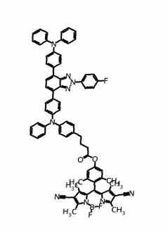 CC1=N/C(=C(/c2c(C)cc(OC(=O)CCCc3ccc(N(c4ccccc4)c4ccc(-c5ccc(-c6ccc(N(c7ccccc7)c7ccccc7)cc6)c6nn(-c7ccc(F)cc7)nc56)cc4)cc3)cc2C)c2c(C)c(C#N)c(C)n2B(F)F)C(C)=C1C#N